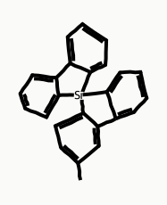 Cc1ccc2c(c1)-c1ccccc1[Si]21c2ccccc2-c2ccccc21